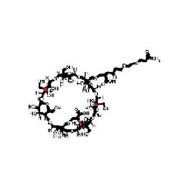 CNC(CSCC1O[C@H]2O[C@@H]3C(CO)O[C@H](O[C@@H]4C(CO)O[C@H](O[C@@H]5C(CO)O[C@@H](O[C@@H]6C(CSCC(CC(=O)CCOCCOCCC(C)=O)C(=O)O)O[C@H](O[C@@H]7C(CO)O[C@@H](O[C@@H]8C(CO)O[C@@H](O[C@H]1[C@H](O)C2O)C(O)[C@H]8O)C(O)[C@H]7O)C(O)[C@H]6O)C(O)[C@H]5O)C(O)[C@H]4O)C(O)[C@H]3O)C(=O)O